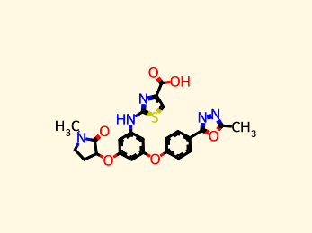 Cc1nnc(-c2ccc(Oc3cc(Nc4nc(C(=O)O)cs4)cc(OC4CCN(C)C4=O)c3)cc2)o1